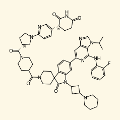 CC(C)n1cnc2cc(-c3ccc4c(c3)N(C3CC(N5CCCCC5)C3)C(=O)C43CCN(C(=O)C4CCN(C(=O)[C@@H]5CCN(c6ccc([C@H]7CCC(=O)NC7=O)cn6)C5)CC4)CC3)nc(Nc3ccccc3F)c21